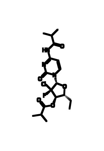 CC[C@H]1O[C@@H](n2ccc(NC(=O)C(C)C)nc2=O)[C@@](F)(Cl)[C@@H]1OC(=O)C(C)C